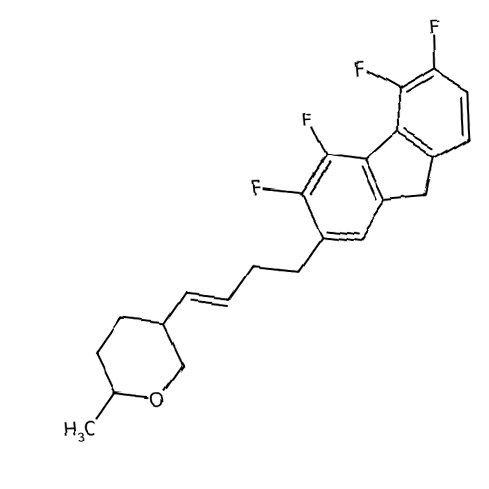 CC1CCC(/C=C/CCc2cc3c(c(F)c2F)-c2c(ccc(F)c2F)C3)CO1